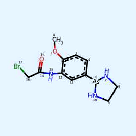 COc1ccc([As]2NCCN2)cc1NC(=O)CBr